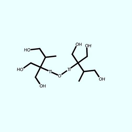 CC(CO)[C](CO)(CO)[Tl][O][Tl][C](CO)(CO)C(C)CO